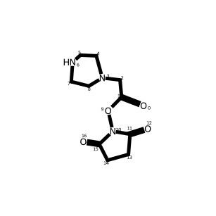 O=C(CN1CCNCC1)ON1C(=O)CCC1=O